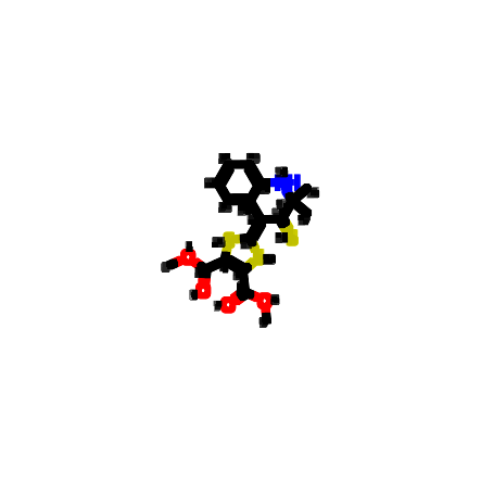 COC(=O)C1=C(C(=O)OC)SC(=C2C(=S)C(C)(C)Nc3ccccc32)S1